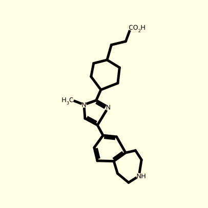 Cn1cc(-c2ccc3c(c2)CCNCC3)nc1C1CCC(CCC(=O)O)CC1